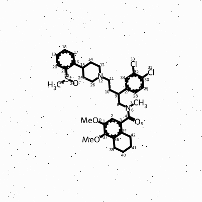 COc1cc(C(=O)N(C)CC(CCN2CCC(c3ccccc3[S+](C)[O-])CC2)c2ccc(Cl)c(Cl)c2)c2c(c1OC)CCCC2